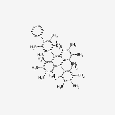 Bc1c(B)c(B)c(-c2c3c(B)c(B)c(B)c(B)c3c(-c3c(B)c(B)c(-c4ccccc4)c(B)c3B)c3c(B)c(B)c(B)c(B)c23)c(B)c1B